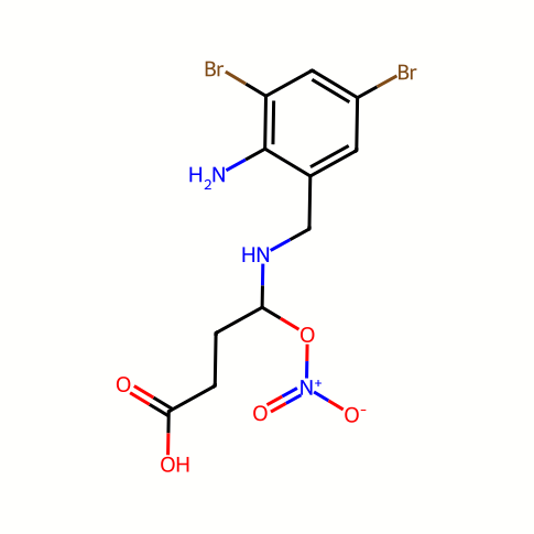 Nc1c(Br)cc(Br)cc1CNC(CCC(=O)O)O[N+](=O)[O-]